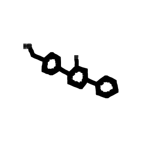 OCc1ccc(-c2ccc(-c3ccccc3)cc2F)cc1